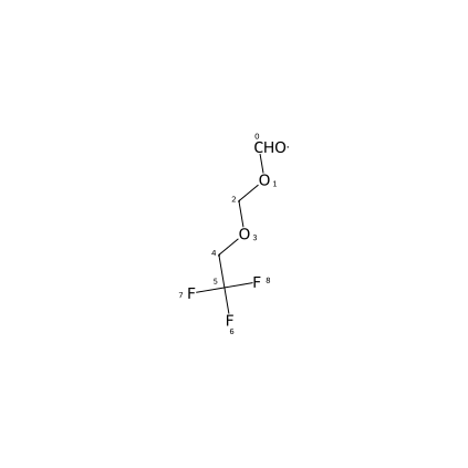 O=[C]OCOCC(F)(F)F